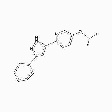 FC(F)Oc1ccc(-c2cc(-c3ccccc3)n[nH]2)nc1